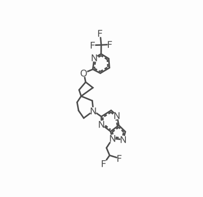 FC(F)Cn1ncc2ncc(N3CCCC4(CC(Oc5cccc(C(F)(F)F)n5)C4)C3)nc21